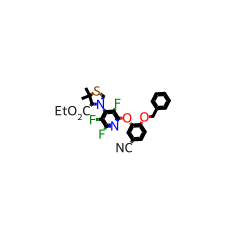 CCOC(=O)C1N(c2c(F)c(F)nc(Oc3cc(C#N)ccc3OCc3ccccc3)c2F)CSC1(C)C